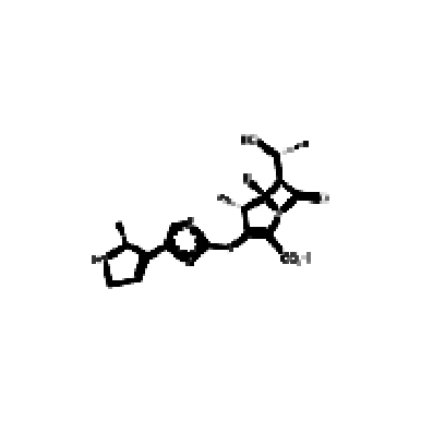 C[C@@H]1NCC=C1c1csc(SC2=C(C(=O)O)N3C(=O)[C@H]([C@@H](C)O)[C@H]3[C@H]2C)n1